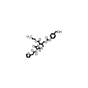 C=CCOC(=O)C1=C(COC(=O)Oc2ccc(CO)cc2)CS[C@@H]2[C@H](NC(=O)Cc3cccs3)C(=O)N12